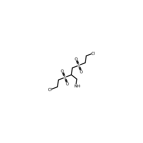 [NH]CC(CS(=O)(=O)CCCl)S(=O)(=O)CCCl